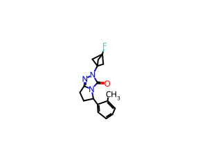 Cc1ccccc1C1CCc2nn(C34CC(F)(C3)C4)c(=O)n21